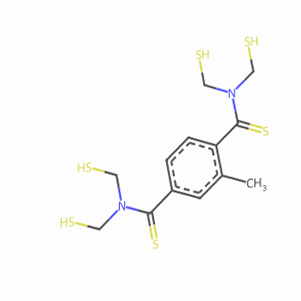 Cc1cc(C(=S)N(CS)CS)ccc1C(=S)N(CS)CS